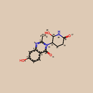 Cc1nc2cc(O)ccc2c(=O)n1C1CCC(=O)NC1O